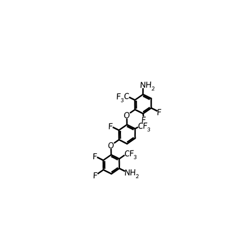 Nc1cc(F)c(F)c(Oc2ccc(C(F)(F)F)c(Oc3c(F)c(F)cc(N)c3C(F)(F)F)c2F)c1C(F)(F)F